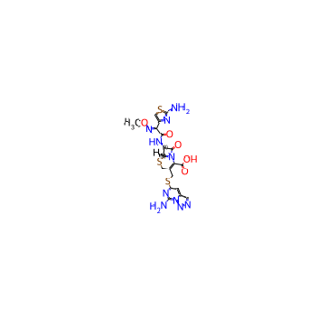 CON=C(C(=O)N[C@@H]1C(=O)N2C(C(=O)O)=C(CSc3cc4cnnn4c(N)n3)CS[C@H]12)c1csc(N)n1